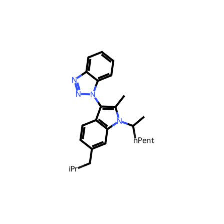 CCCCCC(C)n1c(C)c(-n2nnc3ccccc32)c2ccc(CC(C)C)cc21